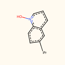 CC(C)c1ccc2c(ccc[n+]2O)c1